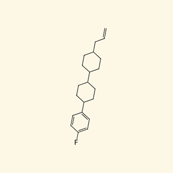 C=CCC1CCC(C2CCC(c3ccc(F)cc3)CC2)CC1